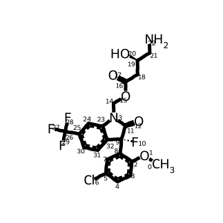 COc1ccc(Cl)cc1[C@]1(F)C(=O)N(COC(=O)C[C@@H](O)CN)c2cc(C(F)(F)F)ccc21